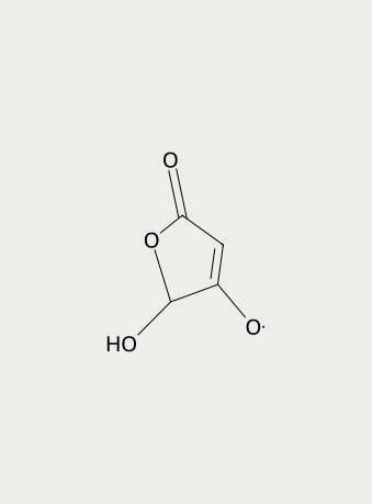 [O]C1=CC(=O)OC1O